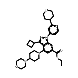 CCOC(=O)c1cc(N2CCC(N3CCOCC3)CC2)c2c(C3CCC3)nn(-c3ccnc(C4CCOCC4)c3)c2n1